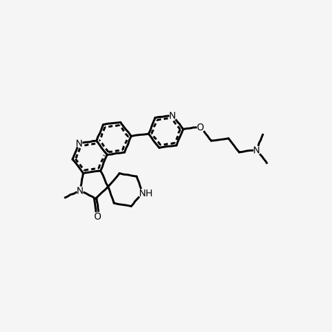 CN(C)CCCOc1ccc(-c2ccc3ncc4c(c3c2)C2(CCNCC2)C(=O)N4C)cn1